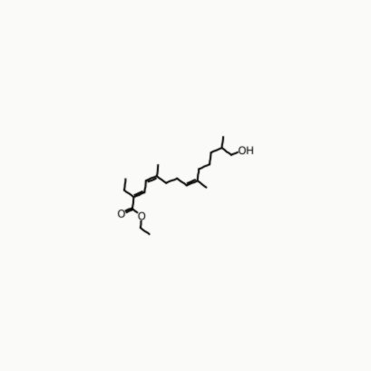 CCOC(=O)C(=CC=C(C)CCC=C(C)CCCC(C)CO)CC